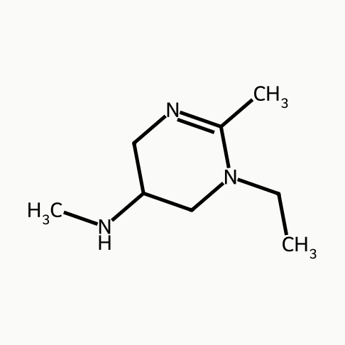 CCN1CC(NC)CN=C1C